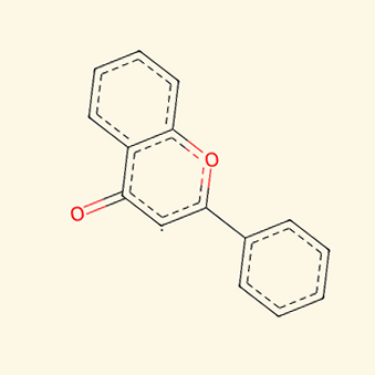 O=c1[c]c(-c2ccccc2)oc2ccccc12